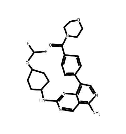 Nc1ncc(-c2ccc(C(=O)N3CCOCC3)cc2)c2nc(NC3CCC(OC(F)F)CC3)ncc12